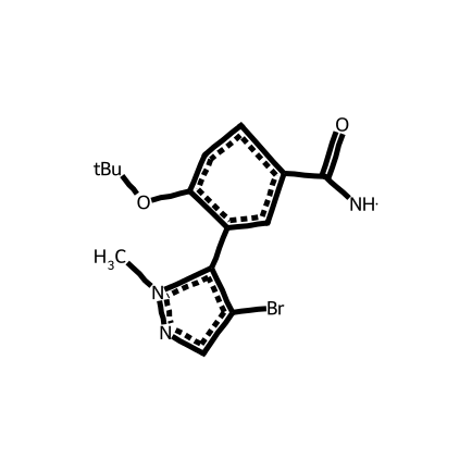 Cn1ncc(Br)c1-c1cc(C([NH])=O)ccc1OC(C)(C)C